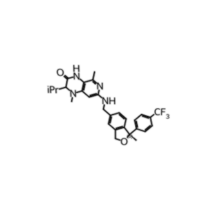 Cc1nc(NCc2ccc3c(c2)CO[C@@]3(C)c2ccc(C(F)(F)F)cc2)cc2c1NC(=O)C(C(C)C)N2C